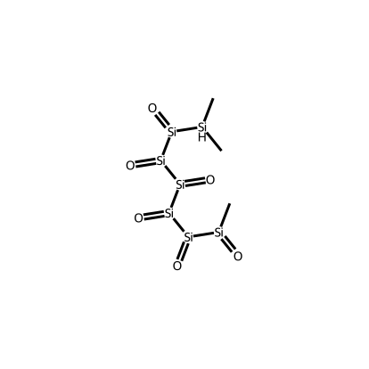 C[Si](=O)[Si](=O)[Si](=O)[Si](=O)[Si](=O)[Si](=O)[SiH](C)C